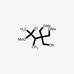 CCC(C)(OC)C(C)C(CO)(COC)COC